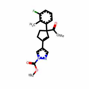 COC(=O)C1(c2cccc(F)c2C)C=C(c2cnn(C(=O)OC(C)(C)C)c2)CC1